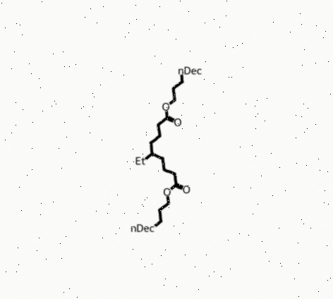 CCCCCCCCCCCCCOC(=O)CCCC(CC)CCCC(=O)OCCCCCCCCCCCCC